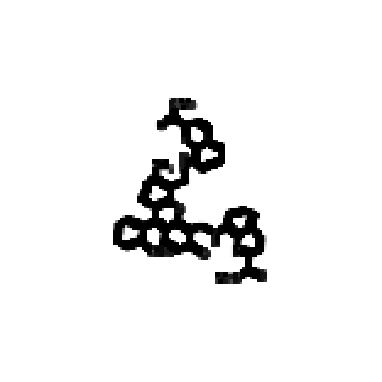 COC(=O)c1ccc2cccc(NCc3c4oc5c(CNc6cccc7ccc(C(=O)OC)nc67)c(N)ccc5c(-c5ccccc5C=O)c-4ccc3=O)c2n1